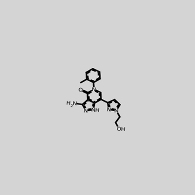 Cc1ccccc1-n1cc(-c2ccn(CCO)n2)c2[nH]nc(N)c2c1=O